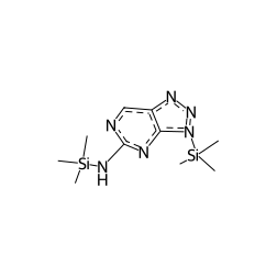 C[Si](C)(C)Nc1ncc2nnn([Si](C)(C)C)c2n1